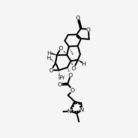 Cc1ncc(COC(=O)O[C@@H]2[C@@]3(C(C)C)O[C@H]3[C@@H]3O[C@]34[C@]23O[C@H]3CC2C3=C(CC[C@@]24C)C(=O)OC3)n1C